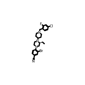 CC[C@H]1CN(c2ccc(C#N)cc2Br)CCN1C1CCN(Cc2ccc(Cl)cc2F)CC1